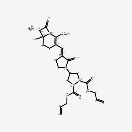 C=CCOC(=O)N1CC(N2CC/C(=C\C3=C(C(=O)O)N4C(=O)[C@@H](N)[C@H]4SC3)C2=O)CN1C(=O)OCC=C